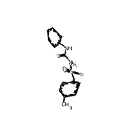 Cc1ccc(S(=O)(=O)NC(=O)Nc2[c]cccc2)cc1